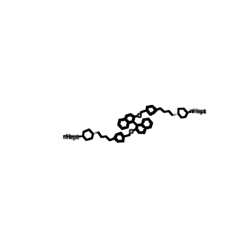 CCCCCCC[C@H]1CC[C@H](CCCCc2ccc(COc3ccc4ccccc4c3-c3c(OCc4ccc(CCCC[C@H]5CC[C@H](CCCCCCC)CC5)cc4)ccc4ccccc34)cc2)CC1